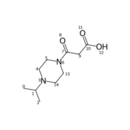 CC(C)N1CCN(C(=O)CC(=O)O)CC1